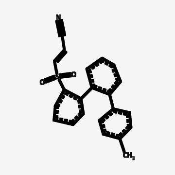 Cc1ccc(-c2ccccc2-c2ccccc2S(=O)(=O)C=CC#N)cc1